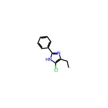 [CH2]Cc1nc(-c2ccccc2)[nH]c1Cl